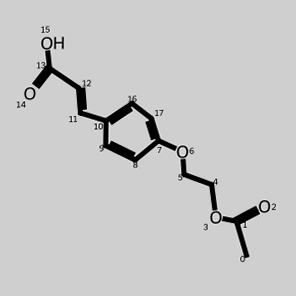 CC(=O)OCCOc1ccc(/C=C/C(=O)O)cc1